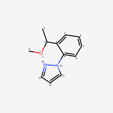 COC(C)c1ccccc1-n1c[c]cn1